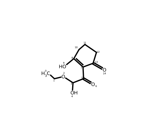 CCOC(O)C(=O)C1=C(O)CCCC1=O